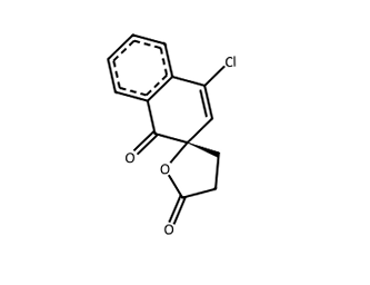 O=C1CC[C@@]2(C=C(Cl)c3ccccc3C2=O)O1